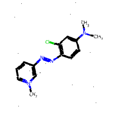 CN(C)c1ccc(N=Nc2ccc[n+](C)c2)c(Cl)c1